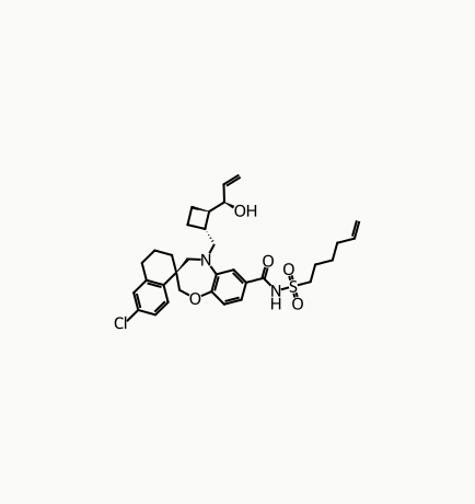 C=CCCCCS(=O)(=O)NC(=O)c1ccc2c(c1)N(C[C@@H]1CC[C@H]1[C@H](O)C=C)C[C@@]1(CCCc3cc(Cl)ccc31)CO2